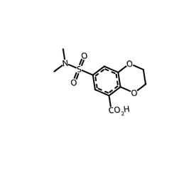 CN(C)S(=O)(=O)c1cc2c(c(C(=O)O)c1)OCCO2